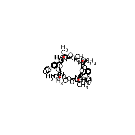 CC(C)CC1C(=O)OC(Cc2ccc(N3CCOCC3)cc2)C(=O)N(C)C(CC(C)C)C(=O)OC(C)CN(C)C(CC(C)C)C(=O)OC(Cc2ccccc2N2CCOCC2)C(=O)N(C)C(CC(C)C)C(=O)OC(C)CN1C